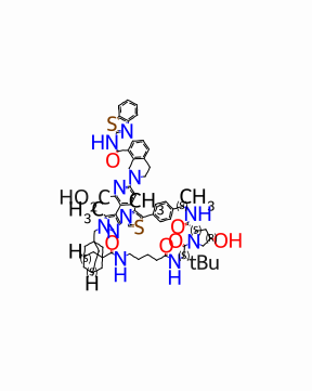 Cc1ncsc1-c1ccc([C@H](C)NC(=O)[C@@H]2C[C@@H](O)CN2C(=O)[C@@H](NC(=O)CCCCNC(=O)C23C[C@H]4C[C@@H](CC(Cn5ncc(-c6ccc(N7CCc8cccc(C(=O)Nc9nc%10ccccc%10s9)c8C7)nc6C(=O)O)c5C)(C4)C2)C3)C(C)(C)C)cc1